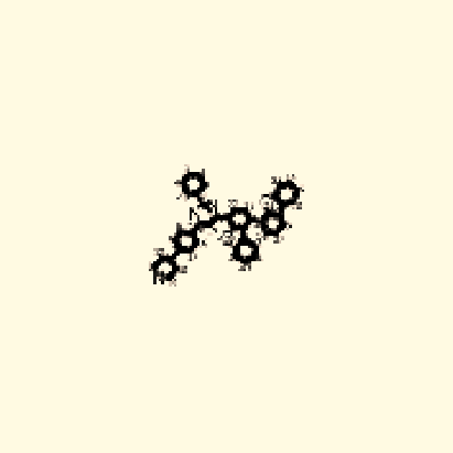 c1ccc(-c2nc(-c3ccc(-c4ccncc4)cc3)cc(-c3ccc(-c4cccc5c4oc4ccccc45)c4c3oc3ccccc34)n2)cc1